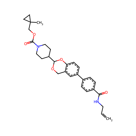 C=CCNC(=O)c1ccc(-c2ccc3c(c2)COC(C2CCN(C(=O)OCC4(C)CC4)CC2)O3)cc1